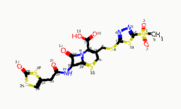 CS(=O)(=O)c1nnc(SCC2=C(C(=O)O)N3C(=O)C(NC(=O)Cc4csc(=O)s4)C3SC2)s1